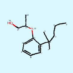 CCCC(C)(C)c1ccccc1OC(C)CO